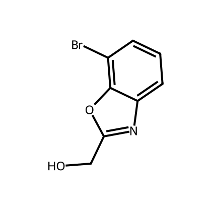 OCc1nc2cccc(Br)c2o1